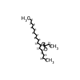 CCCCCCCCCCCC(CCCCCC)OC(=O)CC